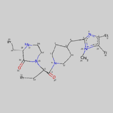 CCc1nc(CC2CCN(C(=O)C(CC(C)C)N3CCN[C@@H](CC(C)C)C3=O)CC2)n(C)c1CC